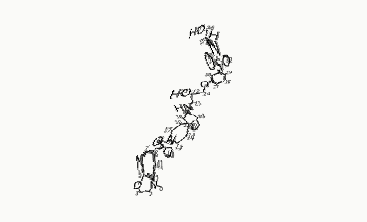 CN1CCOc2ncc(S(=O)(=O)N3CCC4(CC3)C[C@@H](NCC(O)COc3cccc(S(=O)(=O)NCCO)c3)CO4)cc21